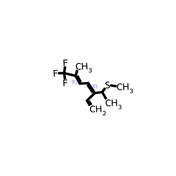 C=C/C(=C\C=C(/C)C(F)(F)F)C(C)SC